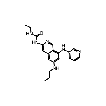 CCCNc1cc(Nc2cccnc2)c2cnc(NC(=O)NCC)cc2c1